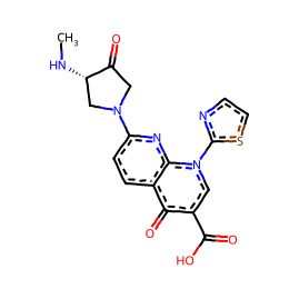 CN[C@H]1CN(c2ccc3c(=O)c(C(=O)O)cn(-c4nccs4)c3n2)CC1=O